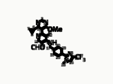 COc1ncnc(C2CC2)c1-c1ncc(C=O)c(NCc2ccc(-c3nc(C(F)(F)F)cn3C)cc2)c1F